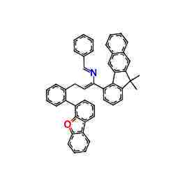 CC1(C)c2cc3ccccc3cc2-c2c(C(=C/Cc3ccccc3-c3cccc4c3oc3ccccc34)/N=C/c3ccccc3)cccc21